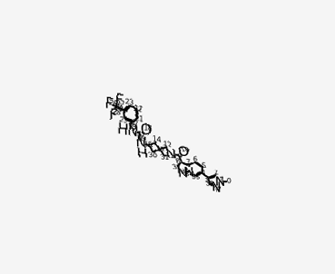 Cn1cc(-c2ccc3c(C(=O)N4CC5(CC(NC(=O)Nc6cccc(C(F)(F)F)c6)C5)C4)cnn3c2)cn1